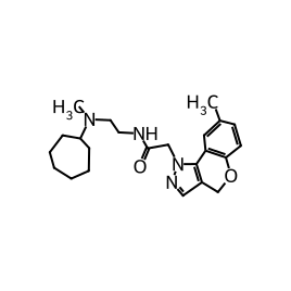 Cc1ccc2c(c1)-c1c(cnn1CC(=O)NCCN(C)C1CCCCCC1)CO2